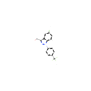 OCc1nn(-c2ccc(C(F)(F)F)cc2)c2ccc(F)cc12